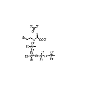 CC[N+](C)(CC)CC.CC[N+](C)(CC)CC.CC[N+](C)(CC)CC.CC[N+](C)(CC)CC.O=C([O-])C(=O)OCCBr.[O-]B([O-])[O-]